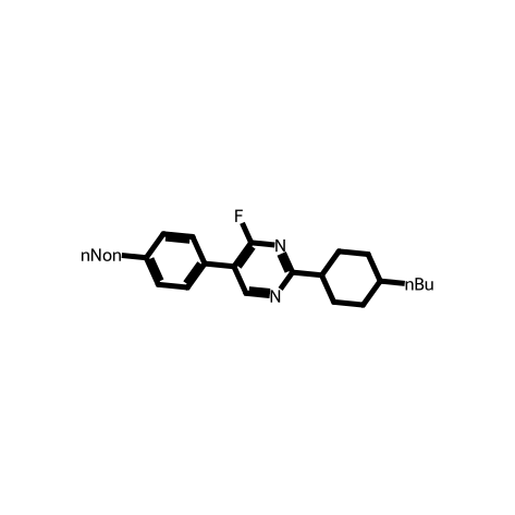 CCCCCCCCCc1ccc(-c2cnc(C3CCC(CCCC)CC3)nc2F)cc1